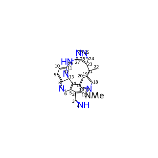 CN/C=C(\C=N)c1cnc2ccc3nc2c1-c1cncc(c1)C(C)c1cnnc(c1)N3